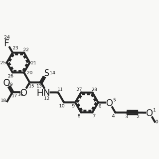 COC#CCOc1ccc(CCNC(=S)C(OC(C)=O)c2ccc(F)cc2)cc1